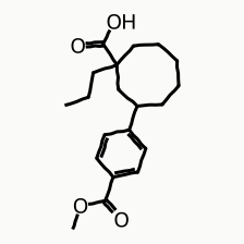 CCCC1(C(=O)O)CCCCCC(c2ccc(C(=O)OC)cc2)C1